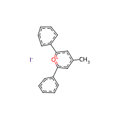 Cc1cc(-c2ccccc2)[o+]c(-c2ccccc2)c1.[I-]